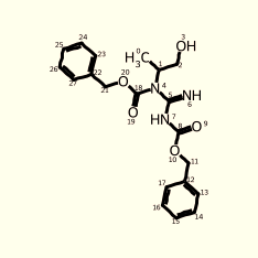 CC(CO)N(C(=N)NC(=O)OCc1ccccc1)C(=O)OCc1ccccc1